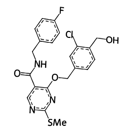 CSc1ncc(C(=O)NCc2ccc(F)cc2)c(OCc2ccc(CO)c(Cl)c2)n1